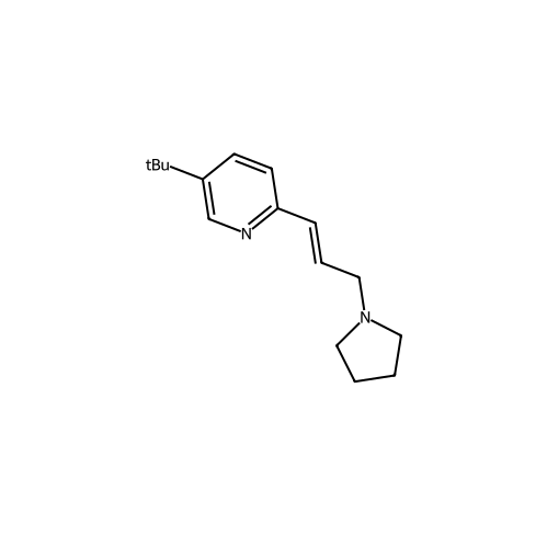 CC(C)(C)c1ccc(/C=C/CN2CCCC2)nc1